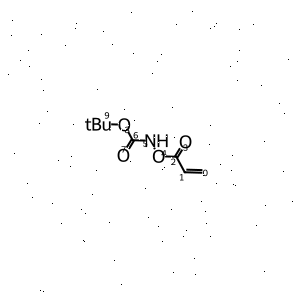 C=CC(=O)ONC(=O)OC(C)(C)C